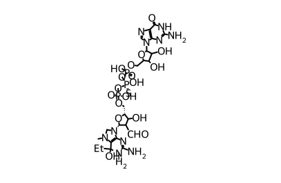 CCC(C)(O)C1=C(N=C(N)N)N([C@@H]2O[C@H](COP(=O)(O)OP(O)(=S)OP(=O)(O)OCC3OC(n4cnc5c(=O)[nH]c(N)nc54)C(O)C3O)C(O)C2C=O)CN1C